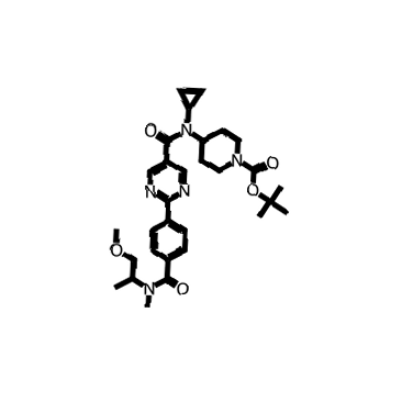 COCC(C)N(C)C(=O)c1ccc(-c2ncc(C(=O)N(C3CC3)C3CCN(C(=O)OC(C)(C)C)CC3)cn2)cc1